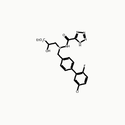 CCOC(=O)C(O)CN(Cc1ccc(-c2cc(Cl)ccc2F)cc1)NC(=O)c1nnn[nH]1